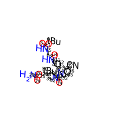 CC(C)(C)OC(=O)NCCC(=O)Nc1cccc(Cn2c(C(=O)N3CCC(C(COC(N)=O)C(C)(C)C)CC3)cc3ccc(C#N)cc32)c1